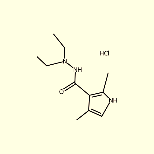 CCN(CC)NC(=O)c1c(C)c[nH]c1C.Cl